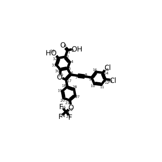 O=C(O)c1cc2c(C#Cc3ccc(Cl)c(Cl)c3)c(-c3ccc(OC(F)(F)F)cc3)oc2cc1O